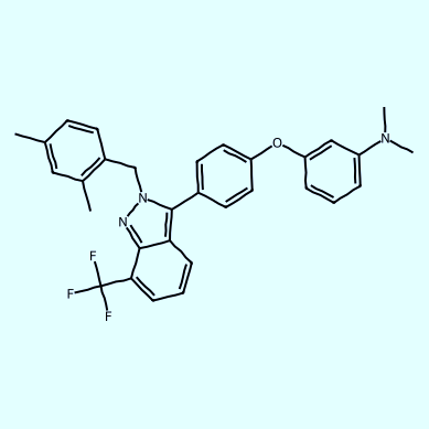 Cc1ccc(Cn2nc3c(C(F)(F)F)cccc3c2-c2ccc(Oc3cccc(N(C)C)c3)cc2)c(C)c1